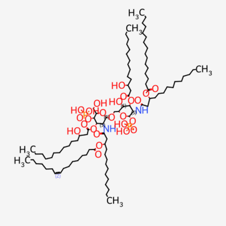 CCCCCC/C=C\CCCCCCCC(=O)OC(CCCCCCCCCCC)CC(=O)N[C@H]1C(OC(=O)CC(O)CCCCCCCCCCC)C(OP(=O)(O)O)C(CO)O[C@H]1OCC1OC(OP(=O)(O)O)[C@@H](NC(=O)CC(CCCCCCCCCCC)OC(=O)CCCCCCCCCCCCCCC)C(OC(=O)CC(O)CCCCCCCCCCC)[C@@H]1O